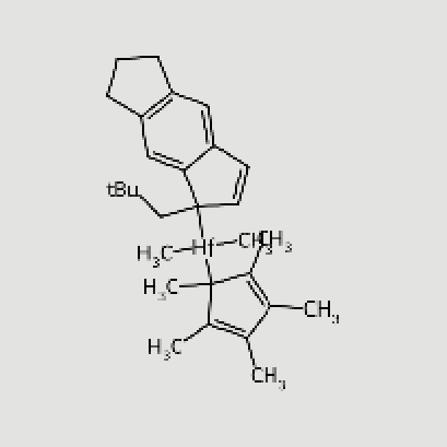 CC1=C(C)[C](C)([Hf]([CH3])([CH3])[C]2(CC(C)(C)C)C=Cc3cc4c(cc32)CCC4)C(C)=C1C